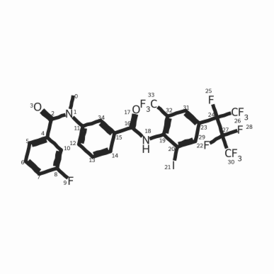 CN(C(=O)c1cccc(F)c1)c1cccc(C(=O)Nc2c(I)cc(C(F)(C(F)(F)F)C(F)(F)C(F)(F)F)cc2C(F)(F)F)c1